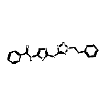 O=C(Nc1cnc(Sc2nnn(CCc3ccccc3)n2)s1)c1ccccc1